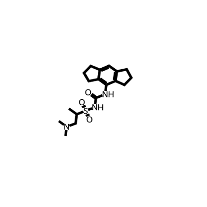 CC(CN(C)C)S(=O)(=O)NC(=O)Nc1c2c(cc3c1CCC3)CCC2